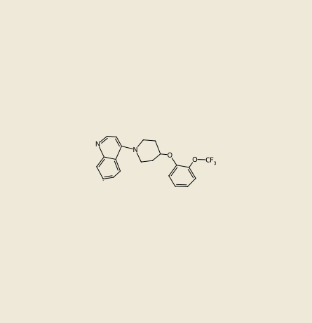 FC(F)(F)Oc1ccccc1OC1CCN(c2ccnc3c[c]ccc23)CC1